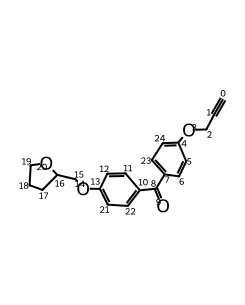 C#CCOc1ccc(C(=O)c2ccc(OCC3CCCO3)cc2)cc1